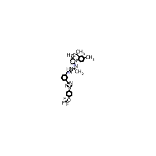 C=C(/N=C1\SCC(=O)N1c1ccc(C)cc1C(C)C)N/N=C/c1cccc(-c2ncn(-c3ccc(OC(F)(F)F)cc3)n2)c1